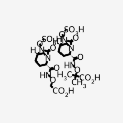 CC(C)(ONC(=O)[C@@H]1CC[C@@H]2CN1C(=O)N2OS(=O)(=O)O)C(=O)O.O=C(O)CONC(=O)[C@@H]1CC[C@@H]2CN1C(=O)N2OS(=O)(=O)O